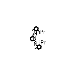 Cc1cccc(C(C)C)c1N=Cc1cccc(C=Nc2c(C)cccc2C(C)C)n1